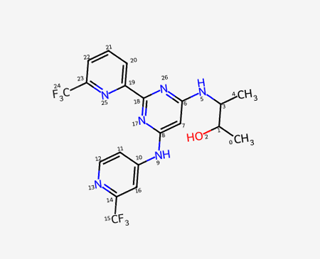 CC(O)C(C)Nc1cc(Nc2ccnc(C(F)(F)F)c2)nc(-c2cccc(C(F)(F)F)n2)n1